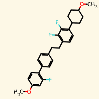 COc1ccc(-c2ccc(CCc3ccc(C4CCC(OC)CC4)c(F)c3F)cc2)c(F)c1